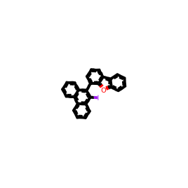 Ic1c(-c2cccc3c2oc2ccccc23)c2ccccc2c2ccccc12